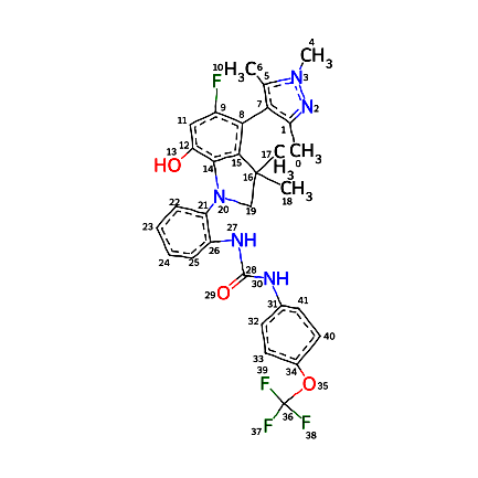 Cc1nn(C)c(C)c1-c1c(F)cc(O)c2c1C(C)(C)CN2c1ccccc1NC(=O)Nc1ccc(OC(F)(F)F)cc1